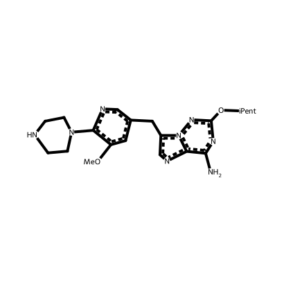 CCCC(C)Oc1nc(N)c2ncc(Cc3cnc(N4CCNCC4)c(OC)c3)n2n1